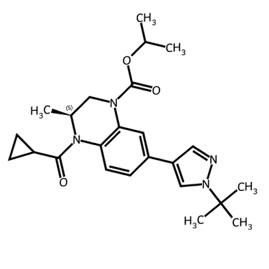 CC(C)OC(=O)N1C[C@H](C)N(C(=O)C2CC2)c2ccc(-c3cnn(C(C)(C)C)c3)cc21